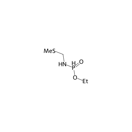 CCO[PH](=O)NCSC